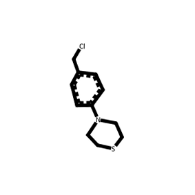 ClCc1ccc(N2CCSCC2)cc1